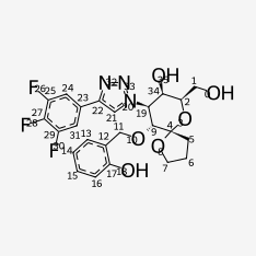 OC[C@H]1O[C@@]2(CCCO2)[C@H](OCc2ccccc2O)[C@@H](n2cc(-c3cc(F)c(F)c(F)c3)nn2)[C@H]1O